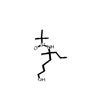 CCCC(C)(CCCCO)N[S+]([O-])C(C)(C)C